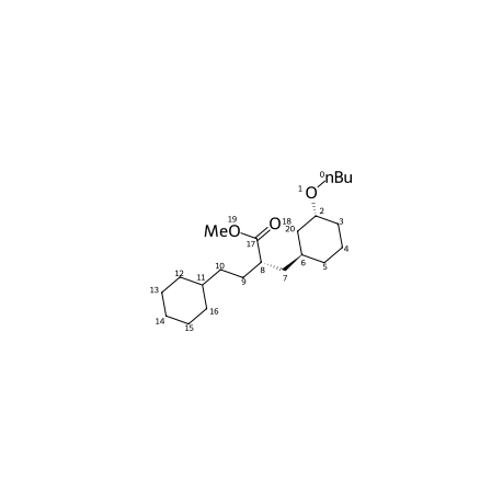 CCCCO[C@@H]1CCC[C@@H](C[C@H](CCC2CCCCC2)C(=O)OC)C1